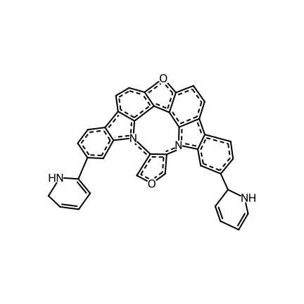 C1=CCNC(c2ccc3c4ccc5oc6ccc7c8ccc(C9C=CC=CN9)cc8n8c9cocc9n(c3c2)c4c5c6c78)=C1